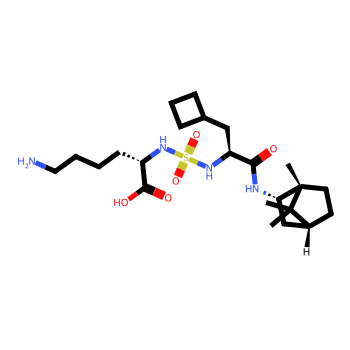 CC1(C)[C@@H]2CC[C@@]1(C)[C@@H](NC(=O)[C@H](CC1CCC1)NS(=O)(=O)N[C@@H](CCCCN)C(=O)O)C2